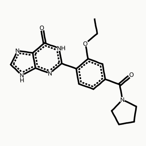 CCOc1cc(C(=O)N2CCCC2)ccc1-c1nc2[nH]cnc2c(=O)[nH]1